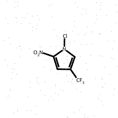 O=[N+]([O-])c1cc(C(F)(F)F)cn1Cl